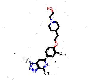 Cc1cc(-c2cc3c(nnn3C)c(C#N)n2)ccc1OCCC1CCN(CCO)CC1